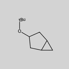 CC(C)(C)OC1CC2CC2C1